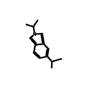 CC(C)c1ccc2cn(C(C)C)cc2c1